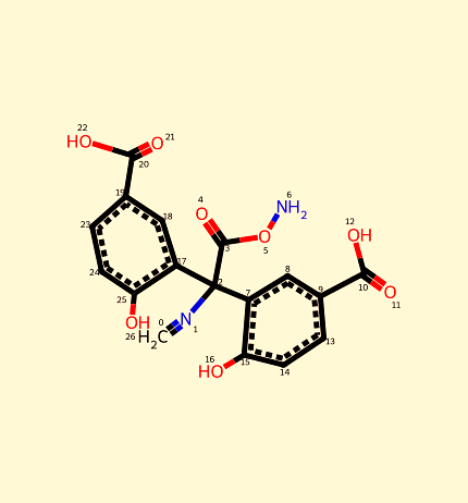 C=NC(C(=O)ON)(c1cc(C(=O)O)ccc1O)c1cc(C(=O)O)ccc1O